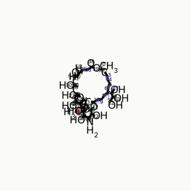 C[C@@H]1C/C=C/C=C/C=C/C=C/[C@H](O[C@@H]2O[C@H](C)[C@@H](O)[C@H](N)[C@@H]2O)C[C@@H]2O[C@](O)(C[C@@H](O)C[C@H]3O[C@@H]3/C=C/C(=O)O1)C[C@H](O)[C@H]2C(=O)O.OCC(O)CO